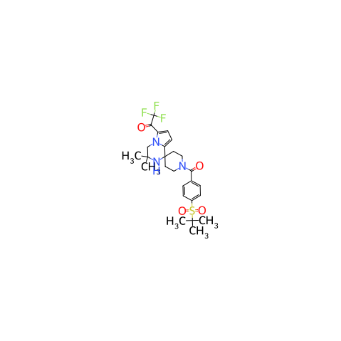 CC1(C)Cn2c(C(=O)C(F)(F)F)ccc2C2(CCN(C(=O)c3ccc(S(=O)(=O)C(C)(C)C)cc3)CC2)N1